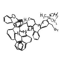 C=CC1C(CCc2cc3oc4ccccc4c3cc2-c2n(-c3c(-c4ccccc4)cccc3-c3ccccc3)c3c4ccccc4ccc3[n+]2C)c2ccccc2-c2cc(CC(C)C)c([Si](C)(C)C)c[n+]21